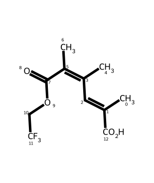 CC(=CC(C)=C(C)C(=O)OCC(F)(F)F)C(=O)O